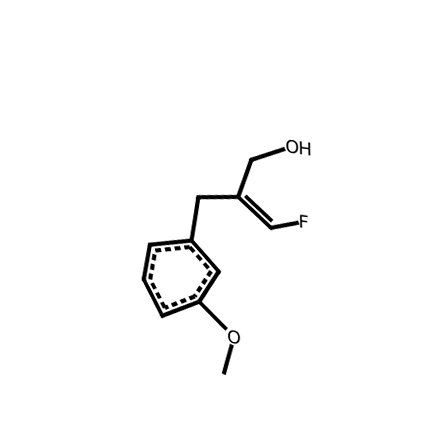 COc1cccc(CC(=CF)CO)c1